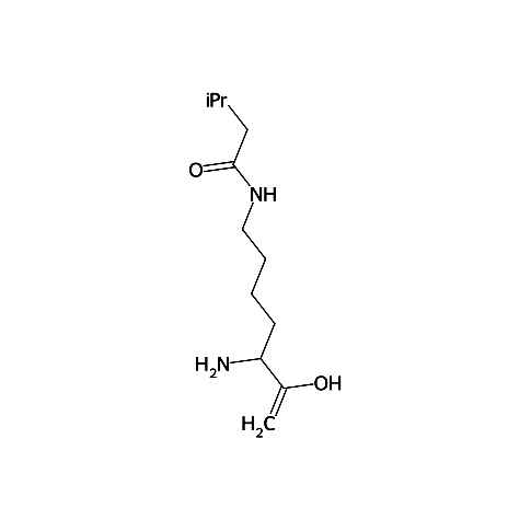 C=C(O)C(N)CCCCNC(=O)CC(C)C